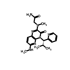 CNc1ccc2nc(N(C)CC(N)=O)c(=O)n([C@H](c3ccccn3)C(C)C)c2n1